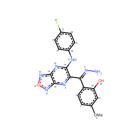 COc1ccc(C(=NN)c2nc3nonc3nc2Nc2ccc(F)cc2)c(O)c1